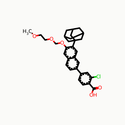 COCCOCOc1cc2ccc(-c3ccc(C(=O)O)c(Cl)c3)cc2cc1C12CC3CC(CC(C3)C1)C2